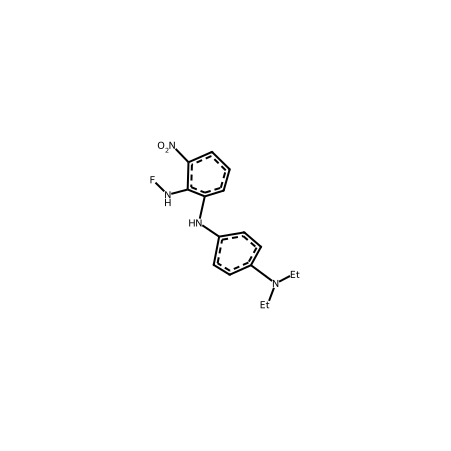 CCN(CC)c1ccc(Nc2cccc([N+](=O)[O-])c2NF)cc1